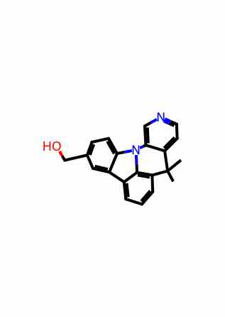 CC1(C)c2ccncc2-n2c3ccc(CO)cc3c3cccc1c32